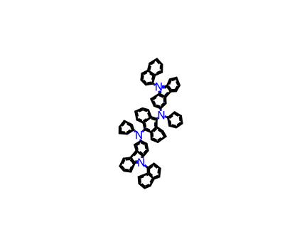 c1ccc(N(c2ccc3c(c2)c2ccccc2n3-c2cccc3ccccc23)c2c3ccccc3c(N(c3ccccc3)c3ccc4c(c3)c3ccccc3n4-c3cccc4ccccc34)c3ccccc23)cc1